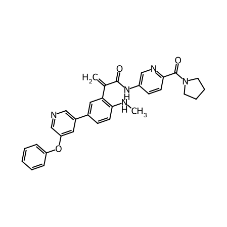 C=C(C(=O)Nc1ccc(C(=O)N2CCCC2)nc1)c1cc(-c2cncc(Oc3ccccc3)c2)ccc1NC